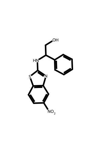 O=[N+]([O-])c1ccc2sc(NC(CO)c3ccccc3)nc2c1